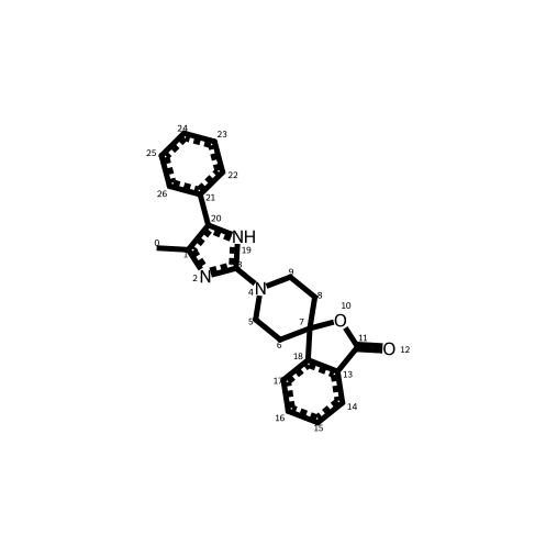 Cc1nc(N2CCC3(CC2)OC(=O)c2ccccc23)[nH]c1-c1ccccc1